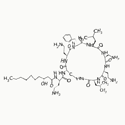 CCCCCCC[C@@H](O)CC(=O)N[C@H](CCN)C(=O)N[C@H]1CCNC(=O)[C@H](CC(C)C)NC(=O)[C@H](CCN)NC(=O)[C@H](CN)NC(=O)[C@H](CC(C)C)NC(=O)[C@@H](Cc2ccccc2)NC(=O)[C@H](CCN)NC1=O